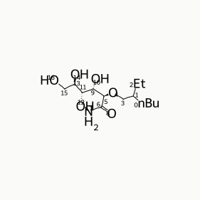 CCCCC(CC)CO[C@@H](C(N)=O)[C@@H](O)[C@H](O)[C@H](O)CO